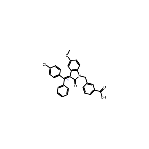 COc1ccc2c(c1)/C(=C(/c1ccccc1)c1ccc(Cl)cc1)C(=O)N2Cc1cccc(C(=O)O)c1